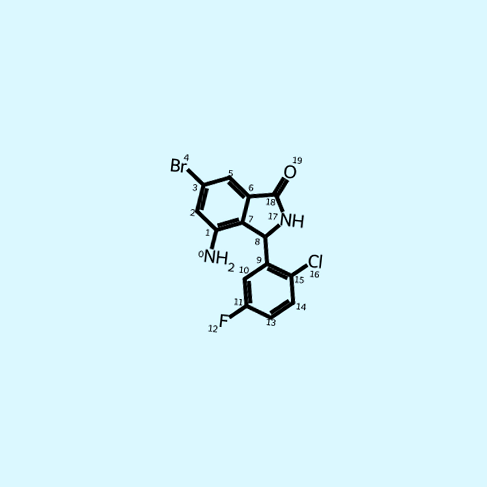 Nc1cc(Br)cc2c1C(c1cc(F)ccc1Cl)NC2=O